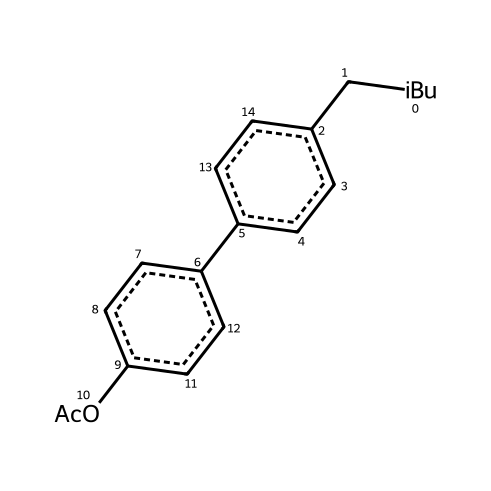 CCC(C)Cc1ccc(-c2ccc(OC(C)=O)cc2)cc1